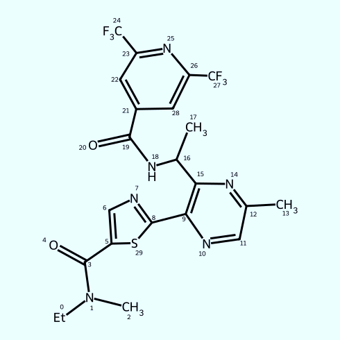 CCN(C)C(=O)c1cnc(-c2ncc(C)nc2C(C)NC(=O)c2cc(C(F)(F)F)nc(C(F)(F)F)c2)s1